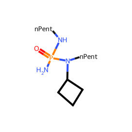 CCCCCNP(N)(=O)N(CCCCC)C1CCC1